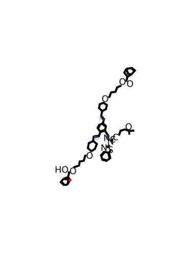 CC1(C)OC1CCCCN(/N=C/c1cc(/C=C/C2CCC(OCCCCCOC(=O)C3CC4C=CC3C4)CC2)ccc1/C=C/C1CCC(OCCCCCOC(O)C2CC3C=CC2C3)CC1)c1nc2ccccc2s1